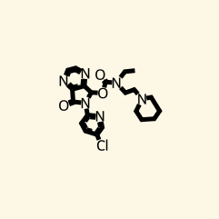 CCN(CCN1CCCCC1)C(=O)OC1c2nccnc2C(=O)N1c1ccc(Cl)cn1